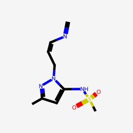 C=N/C=C\Cn1nc(C)cc1NS(C)(=O)=O